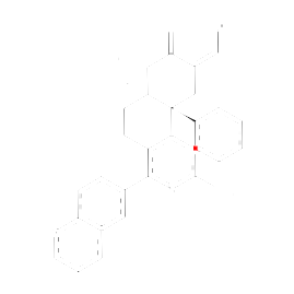 Cc1nc(-c2ccc3ncccc3c2)c2c(n1)[C@@]1(c3ccccc3)CC(=CO)C(=O)[C@@H](C)[C@@H]1CC2